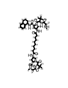 CN[C@@H](C)C(=O)N[C@H](C(=O)N1C[C@@H](NC(=O)CCCCCCCCC(=O)N[C@H]2C[C@@H](C(=O)N[C@@H]3CCCc4ccccc43)N(C(=O)[C@@H](NC(=O)[C@H](C)NC)C(C)(C)C)C2)C[C@H]1C=O)C(C)(C)C